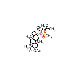 CC(=O)O[C@H]1CC[C@]2(C)C3=C(CC[C@H]2C1(C)C)[C@]1(C)CC[C@H](C(C)C(CC=C(C)C)OS(C)(=O)=O)[C@@]1(C)CC3